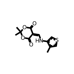 Cc1cscc1NC=C1C(=O)OC(C)(C)OC1=O